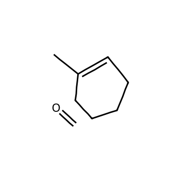 C=O.CC1=CCCCC1